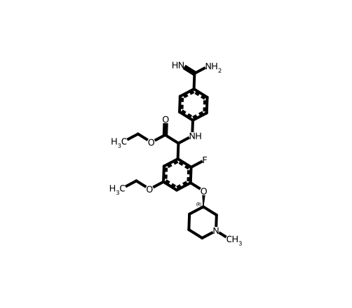 CCOC(=O)C(Nc1ccc(C(=N)N)cc1)c1cc(OCC)cc(O[C@@H]2CCCN(C)C2)c1F